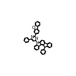 c1ccc(-c2cc(-n3c4ccccc4c4c5c(ccc43)-c3ccccc3C5c3ccccc3)nc(-c3ccc4c(c3)oc3ccccc34)n2)cc1